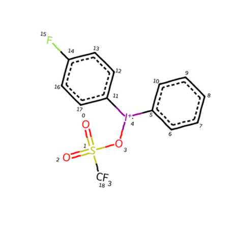 O=S(=O)(O[I+](c1ccccc1)c1ccc(F)cc1)C(F)(F)F